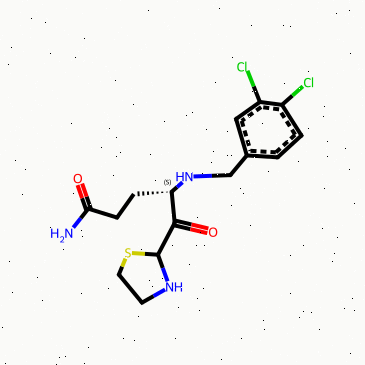 NC(=O)CC[C@H](NCc1ccc(Cl)c(Cl)c1)C(=O)C1NCCS1